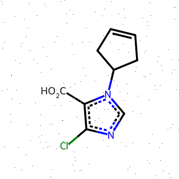 O=C(O)c1c(Cl)ncn1C1CC=CC1